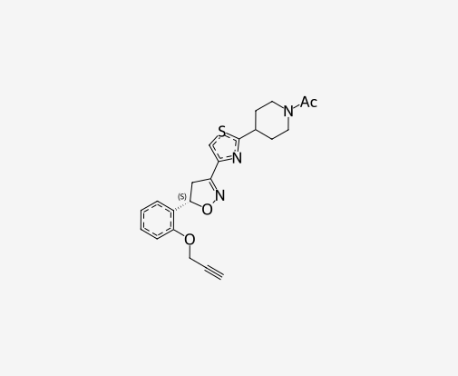 C#CCOc1ccccc1[C@@H]1CC(c2csc(C3CCN(C(C)=O)CC3)n2)=NO1